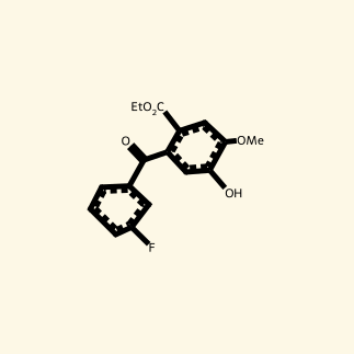 CCOC(=O)c1cc(OC)c(O)cc1C(=O)c1cccc(F)c1